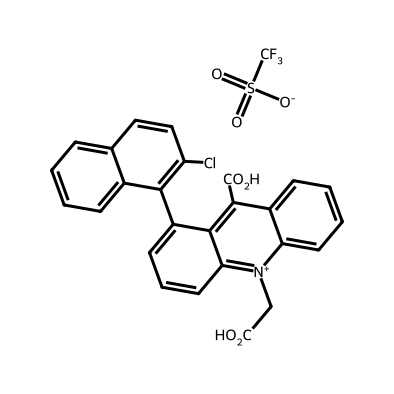 O=C(O)C[n+]1c2ccccc2c(C(=O)O)c2c(-c3c(Cl)ccc4ccccc34)cccc21.O=S(=O)([O-])C(F)(F)F